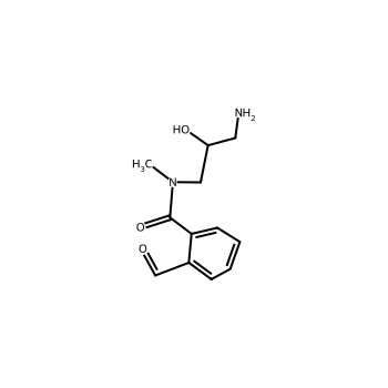 CN(CC(O)CN)C(=O)c1ccccc1C=O